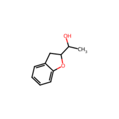 CC(O)C1Cc2ccccc2O1